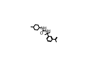 C=C(C)c1cccc(C(C)(C)NC(=O)NC2CCC(C)CC2)c1